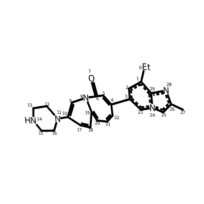 CCc1cc(C2=C\C(=O)N3C=C(N4CCNCC4)C=C\C3=C/C=C/2)cn2cc(C)nc12